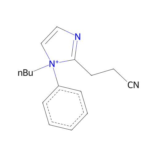 CCCC[N+]1(c2ccccc2)C=CN=C1CCC#N